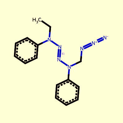 CCN(/N=N/N(CN=[N+]=[N-])c1ccccc1)c1ccccc1